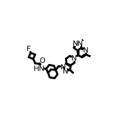 Cc1cc(N2CCc3c(c(C)nn3CC34CCCC(C3)C(NC(=O)CC3CC(F)C3)CC4)C2)c2cnn(C)c2n1